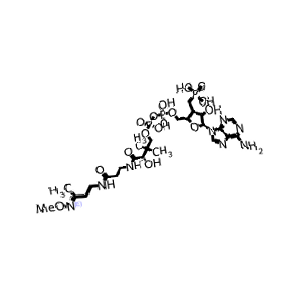 CO/N=C(\C)CCNC(=O)CCNC(=O)[C@@H](O)C(C)(C)COP(=O)(O)OP(=O)(O)OCC1OC(n2cnc3c(N)ncnc32)C(O)C1CP(=O)(O)O